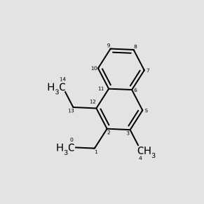 CCc1c(C)cc2ccccc2c1CC